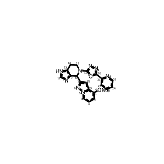 COc1cccn2nc(C3c4nc[nH]c4CCN3c3nnc(-c4ccccn4)o3)cc12